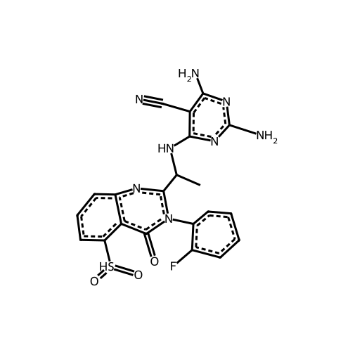 CC(Nc1nc(N)nc(N)c1C#N)c1nc2cccc([SH](=O)=O)c2c(=O)n1-c1ccccc1F